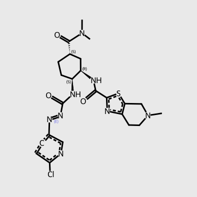 CN1CCc2nc(C(=O)N[C@@H]3C[C@@H](C(=O)N(C)C)CC[C@@H]3NC(=O)/N=N/c3ccc(Cl)nc3)sc2C1